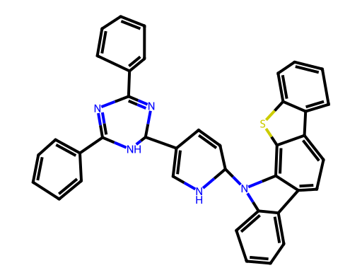 C1=CC(n2c3ccccc3c3ccc4c5ccccc5sc4c32)NC=C1C1N=C(c2ccccc2)N=C(c2ccccc2)N1